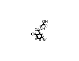 O=C(O)CNC(=O)c1cc(Br)ccc1Cl